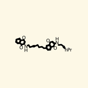 CCCC#CCCNC1=CC(=O)c2cc(CCCCC#CCCNC3=CC(=O)c4ccccc4C3=O)ccc2C1=O